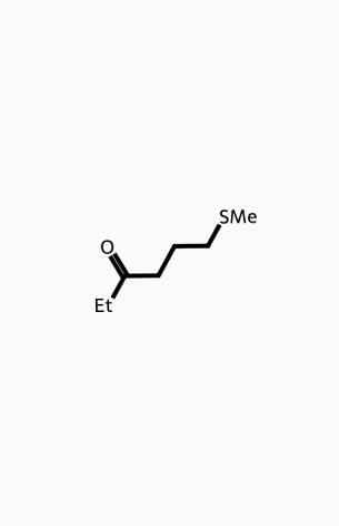 [CH2]CC(=O)CCCSC